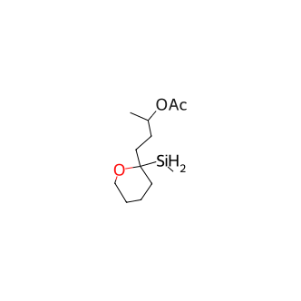 C[SiH2]C1(CCC(C)OC(C)=O)CCCCO1